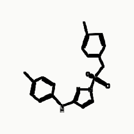 Cc1ccc(CS(=O)(=O)n2ccc(Nc3ccc(C)cc3)n2)cc1